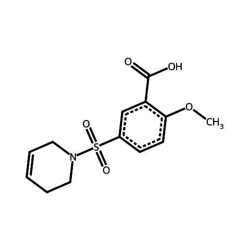 COc1ccc(S(=O)(=O)N2CC=CCC2)cc1C(=O)O